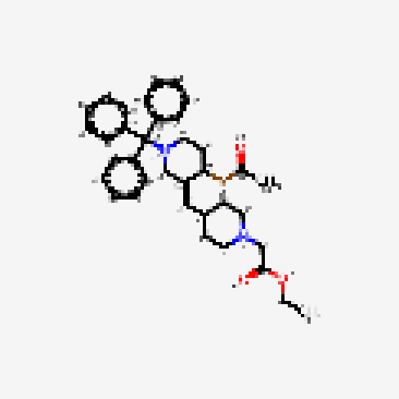 CCOC(=O)CN1CCC(/C=C2/CN(C(c3ccccc3)(c3ccccc3)c3ccccc3)CCC2SC(C)=O)CC1